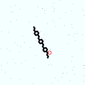 CCCC(=O)C1CCC(CCC2CCC(CCC3CCC(CCC)CC3)CC2)CC1